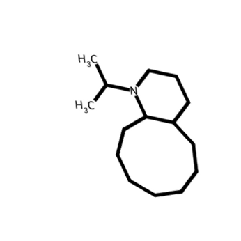 CC(C)N1CCCC2CCCCCCCC21